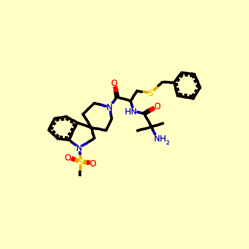 CC(C)(N)C(=O)NC(CSCc1ccccc1)C(=O)N1CCC2(CC1)CN(S(C)(=O)=O)c1ccccc12